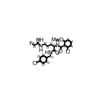 COc1cccc(Cl)c1C(=O)NC(CCCNC(=N)CF)C(=O)NCc1ccc(Cl)cc1